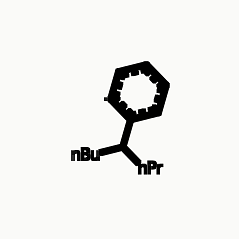 CCCCC(CCC)c1[c]cccc1